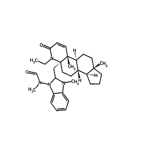 CCN1C(=O)C=C[C@]2(C)[C@H]3CC[C@]4(C)CCC[C@H]4[C@@H]3CC[C@@]12CC1N(C)c2ccccc2N1N(C)C=O